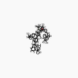 COC(=O)c1cccc2cc(-c3ccc(-c4cnn(CC56CC7(C)CC(C)(C5)CC(OCCN(C)C(=O)OC(C)(C)C)(C7)C6)c4C)c(C(=O)OC(C)(C)C)n3)[nH]c12